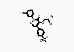 CC(C)[C@H](O)COc1c(-c2ccc(S(C)(=O)=O)cc2)cnn(-c2cccc(Cl)c2)c1=O